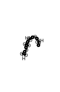 O=C(Nc1ccc(Oc2ccc(NC(=O)Oc3ccc(N4C(=O)c5ccc(Oc6ccc7c(c6)C(=O)NC7=O)cc5C4=O)cc3)cc2)cc1)Oc1ccccc1